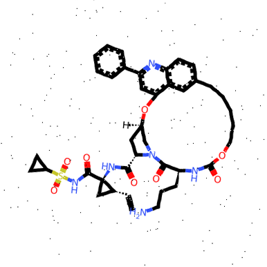 C=C[C@@H]1C[C@]1(NC(=O)[C@@H]1C[C@@H]2CN1C(=O)[C@H](CCCN)NC(=O)OCCCCCc1ccc3nc(-c4ccccc4)cc(c3c1)O2)C(=O)NS(=O)(=O)C1CC1